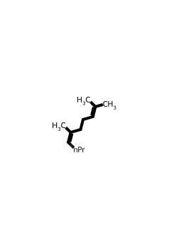 C[CH]CC=C(C)CCC=C(C)C